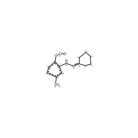 Cc1ccc(OC=O)c(NN=C2CCCCC2)c1